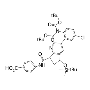 CC(C)(C)OC(=O)N(C(=O)OC(C)(C)C)c1ccc(Cl)cc1-c1cnc2c(c1)C(O[Si](C)(C)C(C)(C)C)CC2C(=O)Nc1ccc(C(=O)O)cc1